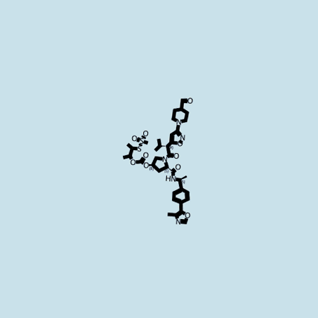 Cc1ncoc1-c1ccc([C@H](C)NC(=O)[C@@H]2C[C@@H](OC(=O)OC(C)C(C)SS(C)(=O)=O)CN2C(=O)[C@@H](c2cc(N3CCC(C=O)CC3)no2)C(C)C)cc1